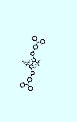 CS(=O)(=O)c1cc(-c2ccc(-c3ccc(N(c4ccccc4)c4ccccc4)cc3)s2)sc1-c1sc(-c2ccc(-c3ccc(N(c4ccccc4)c4ccccc4)cc3)s2)cc1S(=O)(=O)S